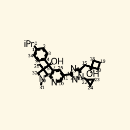 CC(C)c1ccc(C(O)(c2cncc(-c3nc(CC4(O)CCC4)n(C4CC4)n3)c2)C2(C)CN(C)C2)cc1